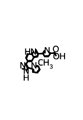 Cc1cccc(-c2[nH]cnc2C2=CC3=CC(c4ccc(C(=O)O)nc4)=CNC3C=C2)n1